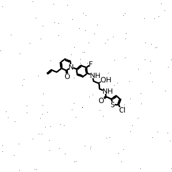 C=CCc1cccn(-c2ccc(NC[C@@H](O)CNC(=O)c3ccc(Cl)s3)c(F)c2)c1=O